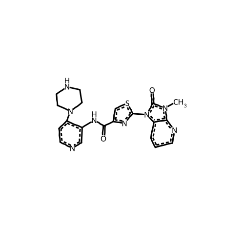 Cn1c(=O)n(-c2nc(C(=O)Nc3cnccc3N3CCNCC3)cs2)c2cccnc21